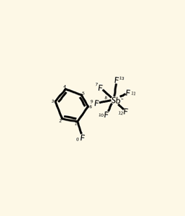 Fc1ccccc1.[F][Sb-]([F])([F])([F])([F])[F]